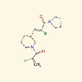 C=C(F)C(=O)N1CCCC(/C=C(\F)C(=O)N2CCCC2)C1